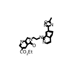 CCOC(=O)c1cnc2c(c1)C(=O)N(CCNc1nccc3ccc(-c4noc(C)n4)cc13)C2